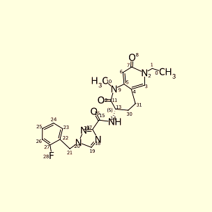 CCn1cc2c(cc1=O)N(C)C(=O)[C@@H](NC(=O)c1ncn(Cc3ccccc3F)n1)CC2